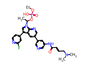 CCOP(=O)(O)OC(C)n1cc(-c2ccnc(F)c2)c2cc(-c3cncc(NC(=O)C=CCN(C)C)c3)cnc21